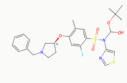 Cc1cc(S(=O)(=O)N(c2cscn2)C(O)OC(C)(C)C)c(F)cc1O[C@H]1CCN(Cc2ccccc2)C1